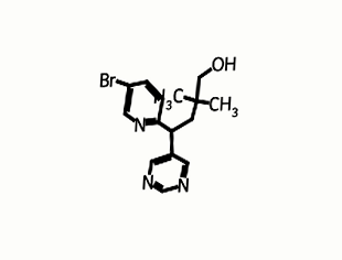 CC(C)(CO)CC(c1cncnc1)c1ccc(Br)cn1